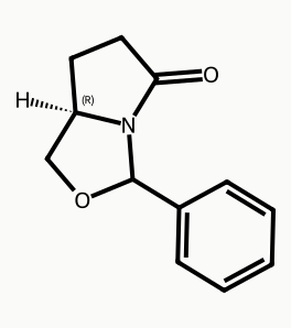 O=C1CC[C@@H]2COC(c3ccccc3)N12